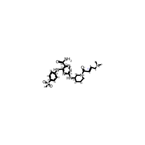 CN(C)C/C=C/C(=O)N1CCCC(Nc2nnc(C(N)=O)c(Nc3ccc(S(C)(=O)=O)cc3)n2)C1